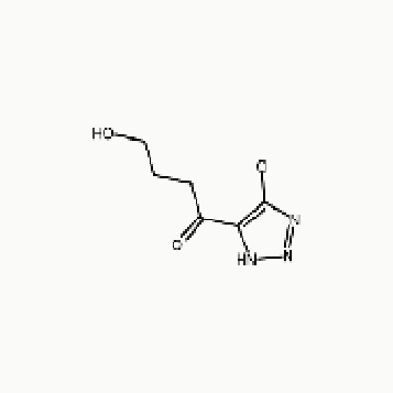 O=C(CCCO)c1[nH]nnc1Cl